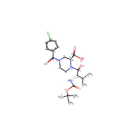 CC(C)[C@H](NC(=O)OC(C)(C)C)C(=O)N1CCN(C(=O)c2ccc(Cl)cc2)C[C@H]1C(=O)O